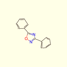 [c]1ccccc1-c1nc(-c2ccccc2)no1